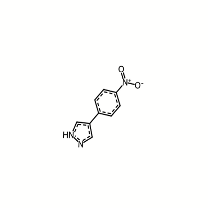 O=[N+]([O-])c1ccc(-c2cn[nH]c2)cc1